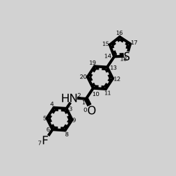 O=C(Nc1ccc(F)cc1)c1ccc(-c2cccs2)cc1